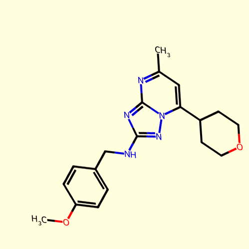 COc1ccc(CNc2nc3nc(C)cc(C4CCOCC4)n3n2)cc1